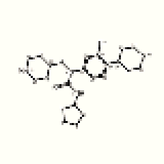 O=C(NC1CCCC1)N(CC1CCNCC1)c1ccc(N2CCOCC2)c(F)c1